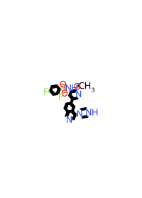 COc1ncc(-c2ccc3cncc(N4CCNCC4)c3c2)cc1NS(=O)(=O)c1ccc(F)cc1F